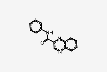 O=C(Nc1c[c]ccc1)c1cnc2ccccc2n1